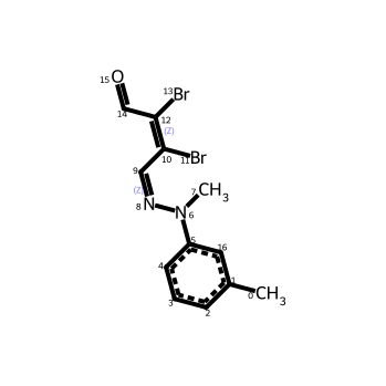 Cc1cccc(N(C)/N=C\C(Br)=C(\Br)C=O)c1